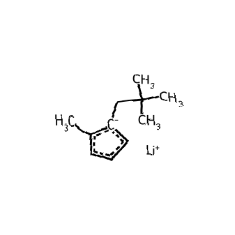 Cc1ccc[c-]1CC(C)(C)C.[Li+]